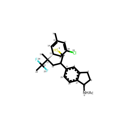 CC(=O)NC1CCc2cc(C(CS)CC(C)([C@@H]3C=C(C)C=C(Cl)C3)C(C)(F)F)ccc21